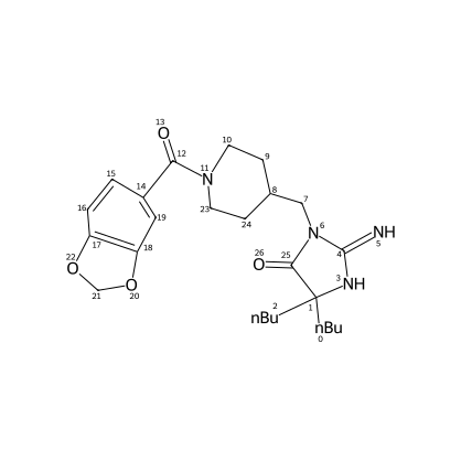 CCCCC1(CCCC)NC(=N)N(CC2CCN(C(=O)c3ccc4c(c3)OCO4)CC2)C1=O